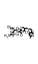 CCO/N=C(/C(=O)NC1C(=O)N2C(C(=O)O)=C(CS/C=C\c3ccc(C)nc3)CS[C@H]12)c1nsc(N)n1